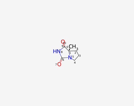 C[C@@]12CCCN1C(=O)NC2=O